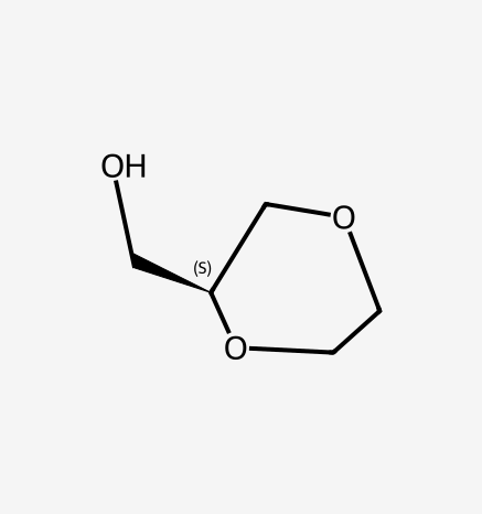 OC[C@H]1COCCO1